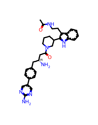 CC(=O)NCCc1c(C2CCCN(C(=O)C[C@H](N)Cc3ccc(-c4cnc(N)nc4)cc3)C2)[nH]c2ccccc12